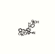 CC(C)(C)OC(=O)N(Cc1cccc(Cl)c1)c1cc(NC2CCCN(C(=O)O)C2)nc2c(C#N)cnn12